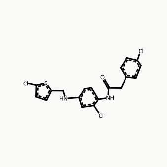 O=C(Cc1ccc(Cl)cc1)Nc1ccc(NCc2ccc(Cl)s2)cc1Cl